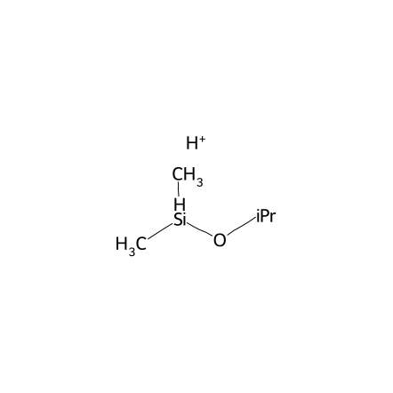 CC(C)O[SiH](C)C.[H+]